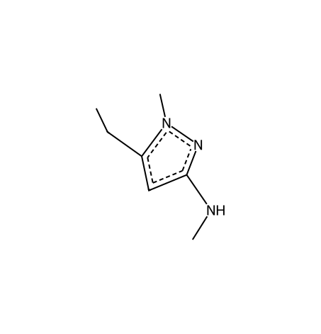 CCc1cc(NC)nn1C